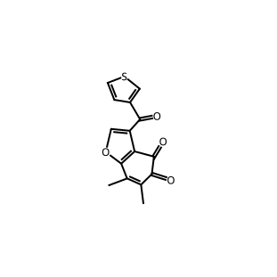 CC1=C(C)c2occ(C(=O)c3ccsc3)c2C(=O)C1=O